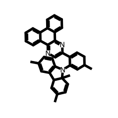 CC1=CC2c3cc(C)ccc3N(C3=CC(C)CC=C3c3cnc4c5ccccc5c5ccccc5c4n3)C2(C)C=C1